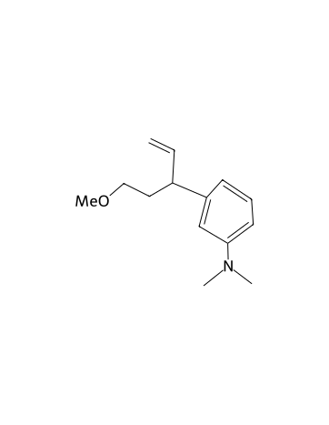 C=CC(CCOC)c1cccc(N(C)C)c1